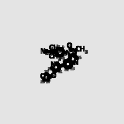 Cn1c(=O)n(C2C=CC(C(C)(C)C#N)=CC2)c2c3cc(-c4cncc(OC5CCOC5)c4)ccc3ncc21